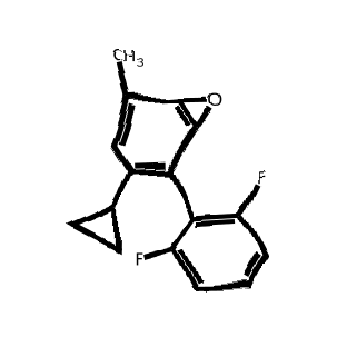 Cc1cc(C2CC2)c(-c2c(F)cccc2F)c2c1O2